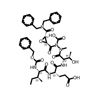 CC[C@H](C)[C@H](NC(=O)OCc1ccccc1)C(=O)N[C@@H](CCC(=O)O)C(=O)N[C@H](C(=O)N(C)N(C(=O)O)C(=O)[C@H]1O[C@@H]1C(=O)N(Cc1ccccc1)Cc1ccccc1)[C@@H](C)O